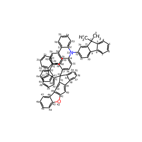 CC1(C)c2ccccc2-c2ccc(N(c3ccc4c(c3)-c3ccccc3-c3ccccc3C43c4ccccc4-c4cc5oc6ccccc6c5cc43)c3ccccc3-c3ccc(-c4ccccc4)cc3)cc21